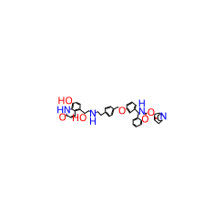 O=C(NC(c1ccccc1)c1cccc(OCc2ccc(CCNCC(O)c3ccc(O)c4[nH]c(=O)ccc34)cc2)c1)OC1CN2CCC1CC2